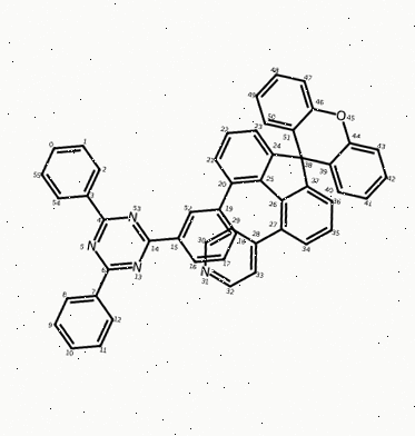 c1ccc(-c2nc(-c3ccccc3)nc(-c3cccc(-c4cccc5c4-c4c(-c6ccncc6)cccc4C54c5ccccc5Oc5ccccc54)c3)n2)cc1